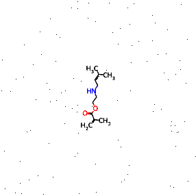 C=C(C)C(=O)OCCNCC=C(C)C